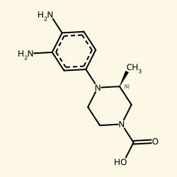 C[C@H]1CN(C(=O)O)CCN1c1ccc(N)c(N)c1